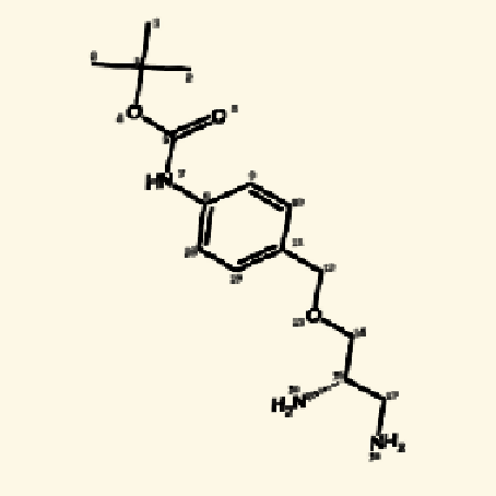 CC(C)(C)OC(=O)Nc1ccc(COC[C@@H](N)CN)cc1